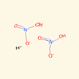 O=[N+]([O-])O.O=[N+]([O-])O.[H+]